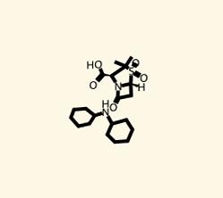 C1CCC(NC2CCCCC2)CC1.CC1(C)[C@H](C(=O)O)N2C(=O)C[C@H]2S1(=O)=O